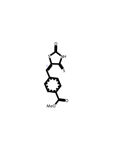 COC(=O)c1ccc(/C=C2/SC(=O)NC2=S)cc1